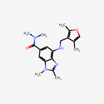 Cc1coc(C)c1CNc1cc(C(=O)N(C)C)cc2c1nc(C)n2C